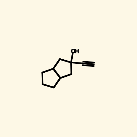 C#CC1(O)CC2CCCC2C1